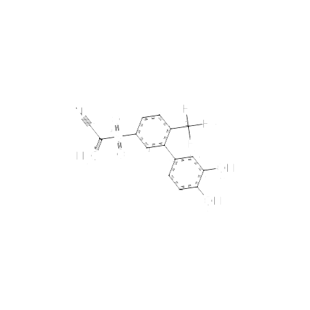 C=C(C#N)S(=O)(=O)c1ccc(C(F)(F)F)c(-c2ccc(O)c(O)c2)c1